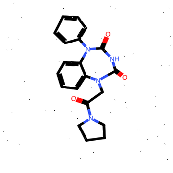 O=C(CN1C(=O)NC(=O)N(c2ccccc2)c2ccccc21)N1CCCC1